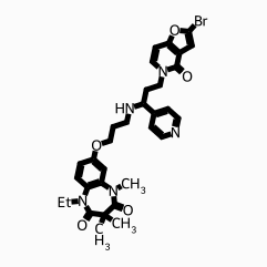 CCN1C(=O)C(C)(C)C(=O)N(C)c2cc(OCCCNC(CCn3ccc4oc(Br)cc4c3=O)c3ccncc3)ccc21